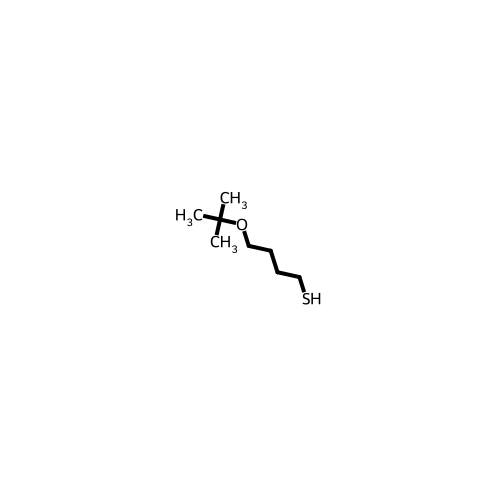 CC(C)(C)OCCCCS